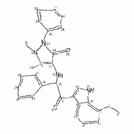 CCc1cccc2c(C(=O)C(Nc3c(C)n(C)n(-c4ccccc4)c3=O)c3ccccc3)c[nH]c12